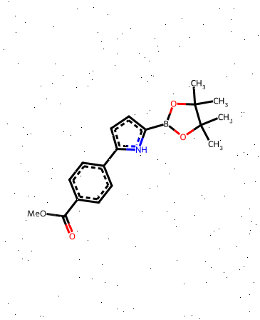 COC(=O)c1ccc(-c2ccc(B3OC(C)(C)C(C)(C)O3)[nH]2)cc1